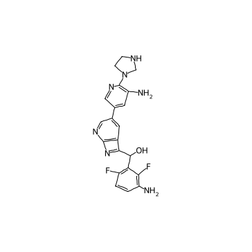 Nc1cc(-c2cnc3c(c2)C(C(O)c2c(F)ccc(N)c2F)=N3)cnc1N1CCNC1